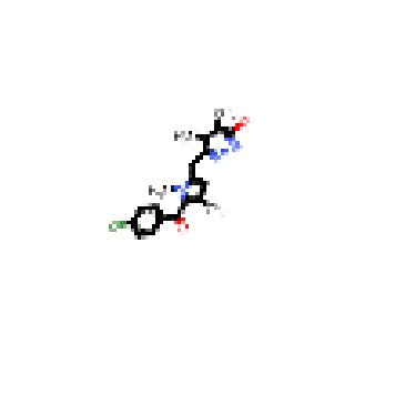 Cc1cc(Cc2n[nH]c(=O)c(C)c2C)n(C)c1C(=O)c1ccc(Cl)cc1